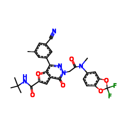 Cc1cc(C#N)cc(-c2nn(CC(=O)N(C)c3ccc4c(c3)OC(F)(F)O4)c(=O)c3cc(C(=O)NC(C)(C)C)oc23)c1